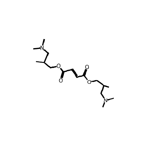 CC(COC(=O)/C=C/C(=O)OCC(C)CN(C)C)CN(C)C